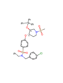 CC(C)CN(Cc1ccc(Cl)cc1)S(=O)(=O)c1ccc(O[C@H]2CCN(S(C)(=O)=O)C[C@@H]2O[Si](C(C)C)(C(C)C)C(C)C)cc1